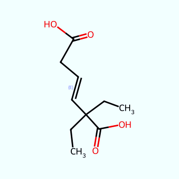 CCC(/C=C/CC(=O)O)(CC)C(=O)O